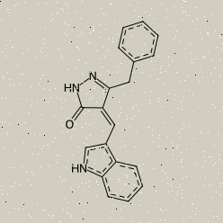 O=C1NN=C(Cc2ccccc2)/C1=C/c1c[nH]c2ccccc12